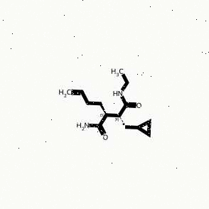 C=CCC[C@H](C(N)=O)[C@@H](CC1CC1)C(=O)NCC